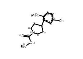 COc1ccc(Cl)cc1C1CCN(C(=O)OC(C)(C)C)CC1